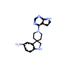 Nc1ccc2c(c1)C1(CCN(c3ncnc4[nH]ccc34)CC1)CN2